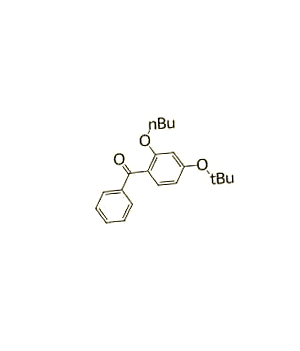 CCCCOc1cc(OC(C)(C)C)ccc1C(=O)c1ccccc1